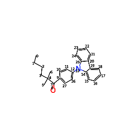 CCCCC(C)(C)C(=O)c1ccc(-n2c3ccccc3c3ccccc32)cc1